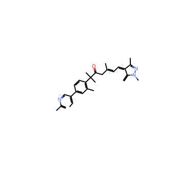 C=C(C)/N=C\C(=C/C)c1ccc(C(C)(C)C(=O)C/C(C)=C/C=c2/c(C)nn(C)c2=C)c(C)c1